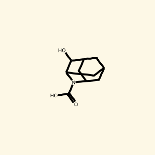 O=C(O)N1C2CC3CC(C2)C(O)C1C3